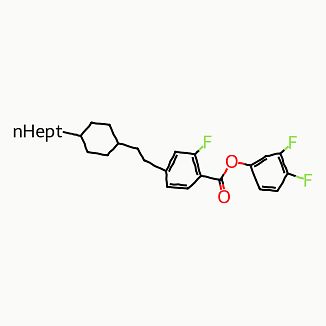 CCCCCCCC1CCC(CCc2ccc(C(=O)Oc3ccc(F)c(F)c3)c(F)c2)CC1